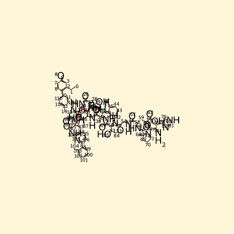 CCc1cc(OC)ccc1-c1ccc(C[C@H](NC(=O)[C@H](CC(=O)O)NC(=O)[C@H](CO)NC(=O)[C@@H](NC(=O)C(C)(Cc2ccccc2F)NC(=O)[C@@H](NC(=O)CNC(=O)[C@H](CCC(=O)O)NC(=O)C2(C)CCCN2C(=O)[C@@H](N)Cc2c[nH]cn2)[C@@H](C)O)[C@@H](C)O)C(=O)N[C@@H](Cc2ccc(-c3ccccc3C)nc2)C(N)=O)cc1